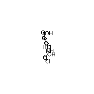 Cl.O=C(O)c1ccc(-c2ccc(CCNC[C@H](O)c3cccc(Cl)c3)cc2)s1